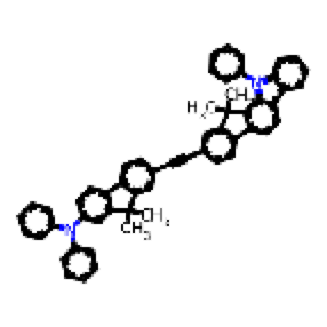 CC1(C)c2cc(C#Cc3ccc4c(c3)C(C)(C)c3c-4ccc4c5ccccc5n(-c5ccccc5)c34)ccc2-c2ccc(N(c3ccccc3)c3ccccc3)cc21